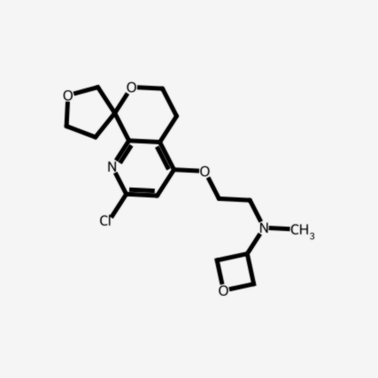 CN(CCOc1cc(Cl)nc2c1CCOC21CCOC1)C1COC1